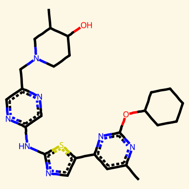 Cc1cc(-c2cnc(Nc3cnc(CN4CCC(O)C(C)C4)cn3)s2)nc(OC2CCCCC2)n1